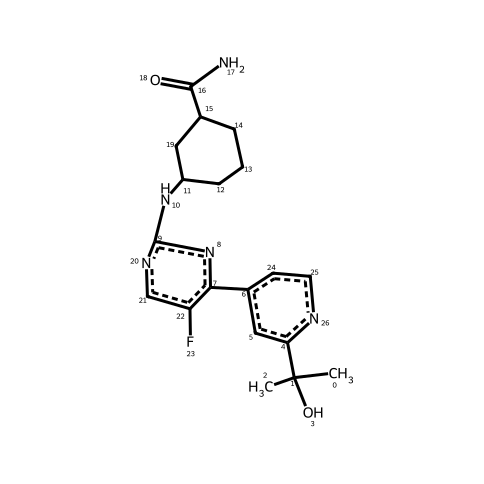 CC(C)(O)c1cc(-c2nc(NC3CCCC(C(N)=O)C3)ncc2F)ccn1